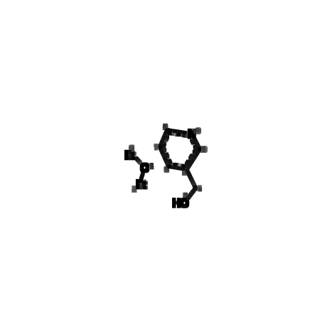 CCOCC.OCc1cccnc1